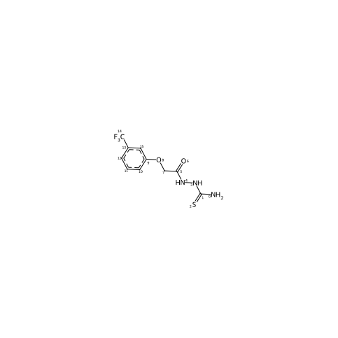 NC(=S)NNC(=O)COc1cccc(C(F)(F)F)c1